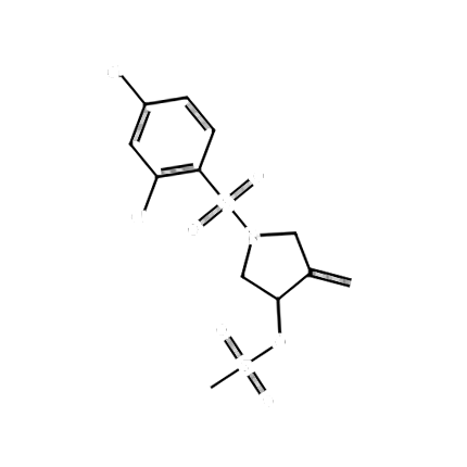 C=C1CN(S(=O)(=O)c2ccc(Cl)cc2Cl)CC1OS(C)(=O)=O